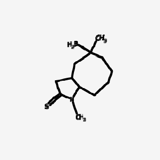 BC1(C)CCCCC2C(CC(=S)N2C)C1